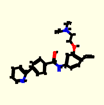 COc1ccc(NC(=O)c2ccc(-c3ccccn3)cc2)cc1OCCN(C(C)C)C(C)C